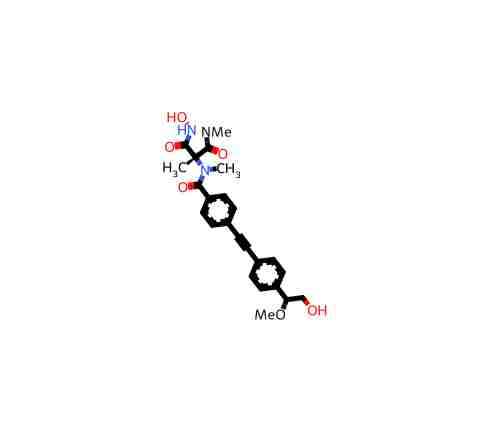 CNC(=O)[C@@](C)(C(=O)NO)N(C)C(=O)c1ccc(C#Cc2ccc(C(CO)OC)cc2)cc1